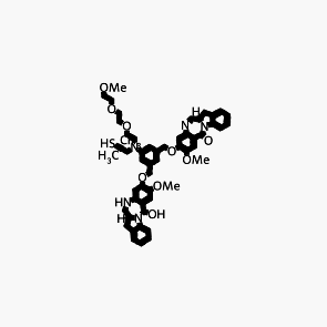 COCCOCCOCCN(CC(C)(C)S)c1cc(COc2cc3c(cc2OC)C(=O)N2c4ccccc4C[C@H]2C=N3)cc(COc2cc3c(cc2OC)C(O)N2c4ccccc4C[C@H]2CN3)c1